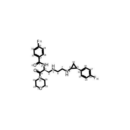 O=C(N[C@@H](CNCCNC1C[C@H]1c1ccc(F)cc1)C(=O)N1CCOCC1)c1ccc(F)cc1